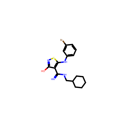 N=C(NCC1CCCCC1)c1c(O)nsc1Nc1cccc(Br)c1